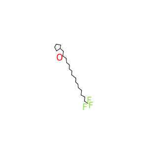 O=C(CCCCCCCCCCCCCCC(F)(F)F)CC1CCCC1